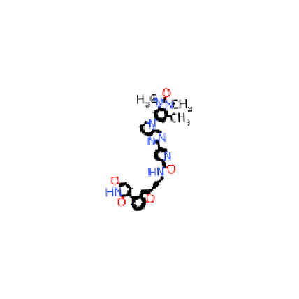 Cc1cc(N2CCCc3nc(-c4ccc(C(=O)NCC#Cc5cc6c(C7CCC(=O)NC7=O)cccc6o5)nc4)ncc32)cc2c1n(C)c(=O)n2C